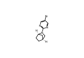 Brc1cnc(N2C[C@H]3CC[C@@H]2C3)nc1